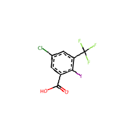 O=C(O)c1cc(Cl)cc(C(F)(F)F)c1I